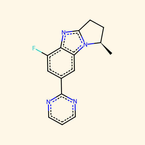 C[C@@H]1CCc2nc3c(F)cc(-c4ncccn4)cc3n21